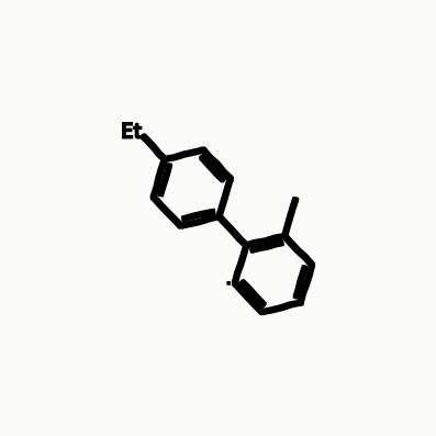 CCc1ccc(-c2[c]cccc2C)cc1